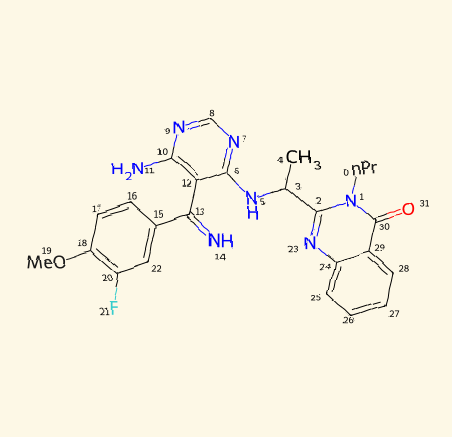 CCCn1c(C(C)Nc2ncnc(N)c2C(=N)c2ccc(OC)c(F)c2)nc2ccccc2c1=O